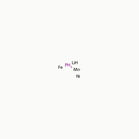 P.[Fe].[LiH].[Mn].[Ni]